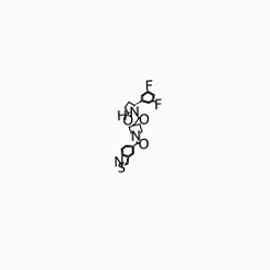 O=C(c1ccc2nscc2c1)N1CCC2(CC1)O[C@@H]1CC[C@@H](c3cc(F)cc(F)c3)N1C2=O